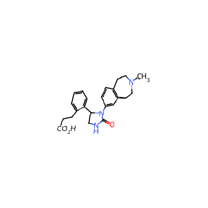 CN1CCc2ccc(N3C(=O)NCC3c3ccccc3CCC(=O)O)cc2CC1